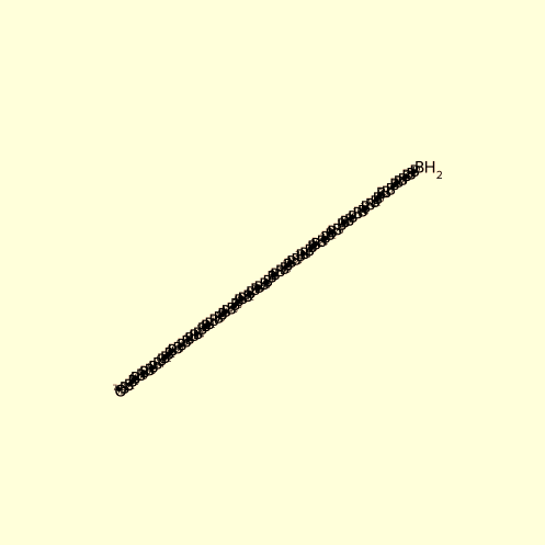 BB=BB=BB=BB=BB=BB=BB=BB=BB=BB=BB=BB=BB=BB=BB=BB=BB=BB=BB=BB=BB=BB=BB=BB=BB=BB=BB=BB=BB=BB=BB=BB=BB=BB=BB=BB=BOC